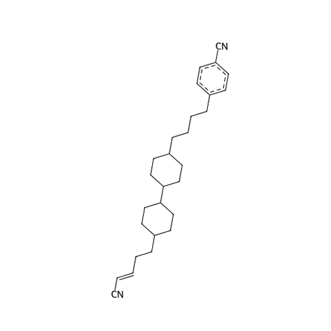 N#CC=CCCC1CCC(C2CCC(CCCCc3ccc(C#N)cc3)CC2)CC1